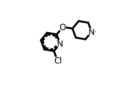 Clc1cccc(OC2CC[N]CC2)n1